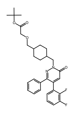 CC(C)(C)OC(=O)COCC1CCC(Cn2nc(-c3ccccc3)c(-c3cccc(F)c3F)cc2=O)CC1